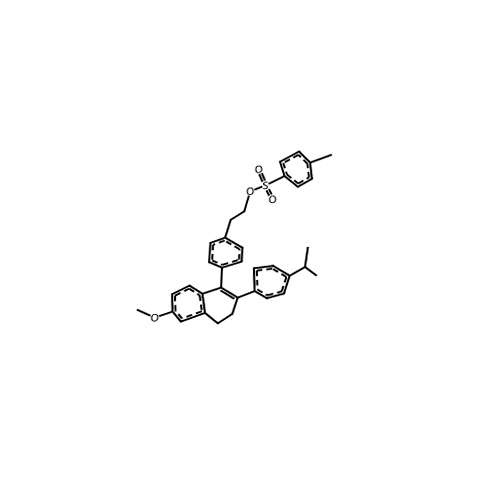 COc1ccc2c(c1)CCC(c1ccc(C(C)C)cc1)=C2c1ccc(CCOS(=O)(=O)c2ccc(C)cc2)cc1